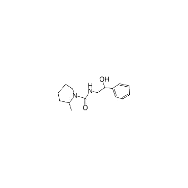 CC1CCCCN1C(=O)NCC(O)c1ccccc1